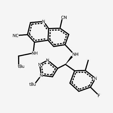 Cc1nc(F)ccc1[C@H](Nc1cc(C#N)c2ncc(C#N)c(NCC(C)(C)C)c2c1)c1cn(C(C)(C)C)nn1